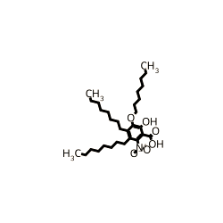 CCCCCCCCOc1c(O)c(C(=O)O)c([N+](=O)[O-])c(CCCCCCCC)c1CCCCCCCC